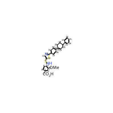 COc1cc(C(=O)O)ccc1NSc1cnc(-c2ccc(C3=CCC(c4ccccc4)CC3)cc2)s1